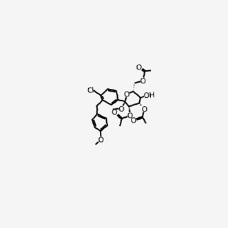 COc1ccc(Cc2cc([C@]3(OC)O[C@H](COC(C)=O)[C@@H](O)[C@H](OC(C)=O)[C@H]3OC(C)=O)ccc2Cl)cc1